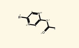 CC(=O)Oc1cnc(Br)cn1